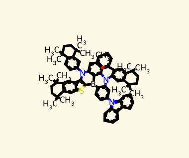 Cc1cc2c3c(c1)N(c1ccc4c(c1)C(C)(C)CCC4(C)C)c1c(sc4cc5c(cc14)C(C)(C)CCC5(C)C)B3c1ccc(-n3c4ccccc4c4ccccc43)cc1N2c1cc2c(cc1-c1ccccc1)C(C)(C)CCC2(C)C